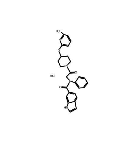 Cc1cccc(OC2CCN(C(=O)CN(C(=O)c3ccc4cc[nH]c4c3)c3ccccc3)CC2)n1.Cl